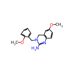 COc1ccc2c(c1)CN(Cc1ccccc1OC)C(N)=N2